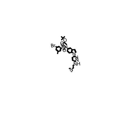 Cc1cc(Br)cc(S(=O)(=O)N(CC(=O)OC(C)(C)C)c2ccc3c(ccn3-c3ccc(NCCN(C)C)nn3)c2)c1